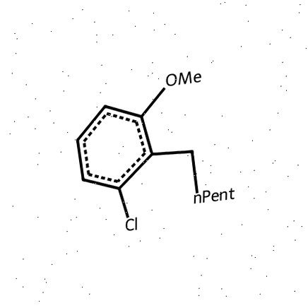 CCCCCCc1c(Cl)cccc1OC